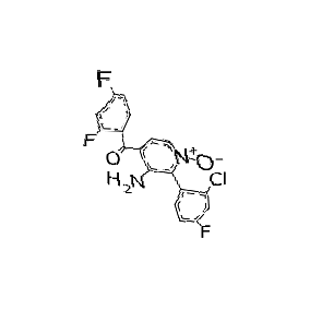 Nc1c(C(=O)c2ccc(F)cc2F)cc[n+]([O-])c1-c1ccc(F)cc1Cl